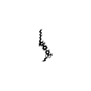 CCCCCCCCc1cnc(-c2ccc([C@H]3CC[C@@](C#N)(C(=O)OCCCC)CC3)cc2)nc1